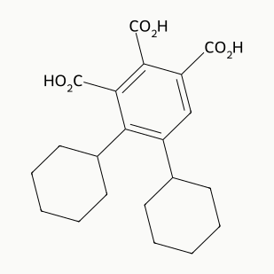 O=C(O)c1cc(C2CCCCC2)c(C2CCCCC2)c(C(=O)O)c1C(=O)O